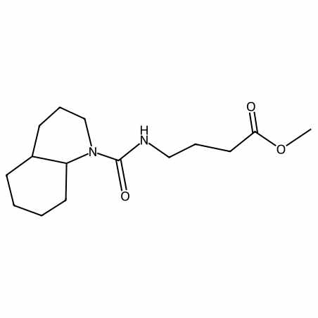 COC(=O)CCCNC(=O)N1CCCC2CCCCC21